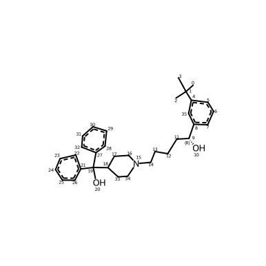 CC(C)(C)c1cccc([C@H](O)CCCCN2CCC(C(O)(c3ccccc3)c3ccccc3)CC2)c1